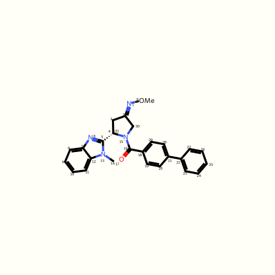 CON=C1C[C@@H](c2nc3ccccc3n2C)N(C(=O)c2ccc(-c3ccccc3)cc2)C1